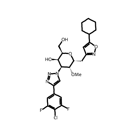 CO[C@@H]1[C@@H](n2cc(-c3cc(F)c(Cl)c(F)c3)nn2)[C@@H](O)[C@@H](CO)O[C@@H]1Cc1cc(C2CCCCC2)on1